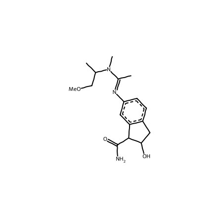 COCC(C)N(C)C(C)=Nc1ccc2c(c1)C(C(N)=O)C(O)C2